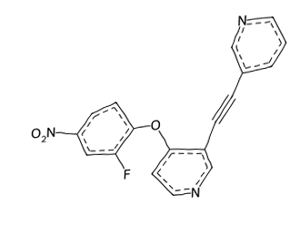 O=[N+]([O-])c1ccc(Oc2ccncc2C#Cc2cccnc2)c(F)c1